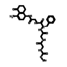 CC(C)(C)OC(=O)NCC(=O)NCC(=O)N[C@@H](Cc1ccccc1)C(=O)NCC(=O)NC1CC=C(N)C2=C1CCCC2=O